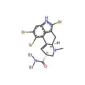 CCN(CC)C(=O)[C@@H]1C=C2c3c(Br)c(Br)cc4[nH]c(Br)c(c34)C[C@H]2N(C)C1